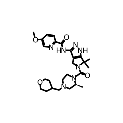 COc1ccc(C(=O)Nc2n[nH]c3c2CN(C(=O)N2CCN(CC4CCOCC4)C[C@@H]2C)C3(C)C)nc1